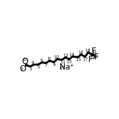 O=C([O-])CCCCCCCCCCCCCCCCC(F)(F)F.[Na+]